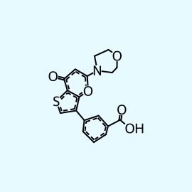 O=C(O)c1cccc(-c2csc3c(=O)cc(N4CCOCC4)oc23)c1